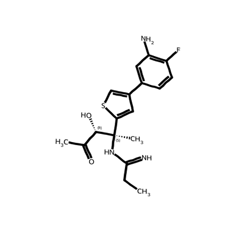 CCC(=N)N[C@](C)(c1cc(-c2ccc(F)c(N)c2)cs1)[C@@H](O)C(C)=O